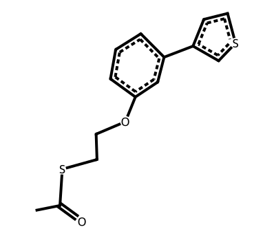 CC(=O)SCCOc1cccc(-c2ccsc2)c1